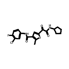 Cc1sc(C(=O)C(=O)NC2CCCC2)cc1C(=O)Nc1ccc(F)c(Cl)c1